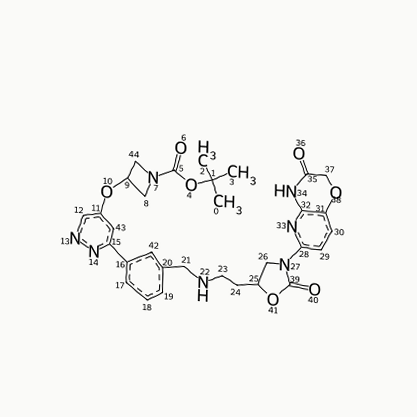 CC(C)(C)OC(=O)N1CC(Oc2cnnc(-c3cccc(CNCCC4CN(c5ccc6c(n5)NC(=O)CO6)C(=O)O4)c3)c2)C1